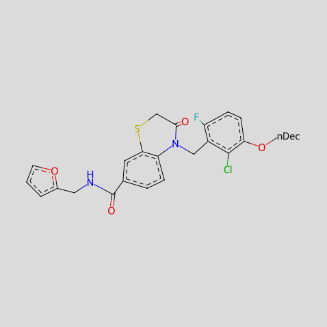 CCCCCCCCCCOc1ccc(F)c(CN2C(=O)CSc3cc(C(=O)NCc4ccco4)ccc32)c1Cl